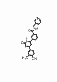 Cc1cc(-c2cc(-c3cccc(C(=O)NCc4cccnc4)c3)[nH]c(=O)n2)ccc1O